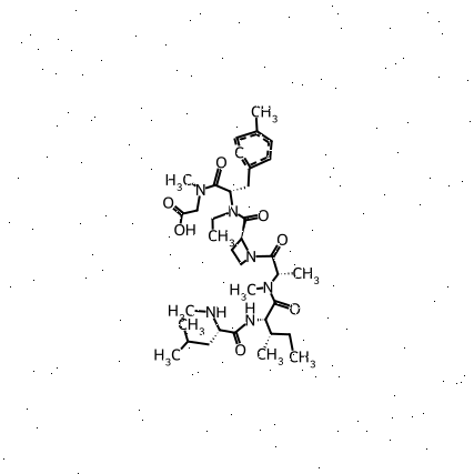 CC[C@H](C)[C@H](NC(=O)[C@H](CC(C)C)NC)C(=O)N(C)[C@@H](C)C(=O)N1CC[C@H]1C(=O)N(CC)[C@@H](Cc1ccc(C)cc1)C(=O)N(C)CC(=O)O